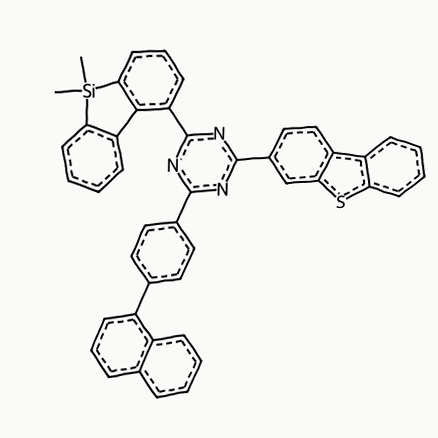 C[Si]1(C)c2ccccc2-c2c(-c3nc(-c4ccc(-c5cccc6ccccc56)cc4)nc(-c4ccc5c(c4)sc4ccccc45)n3)cccc21